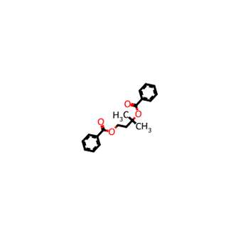 CC(C)(CCOC(=O)c1ccccc1)OC(=O)c1ccccc1